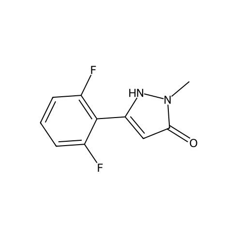 Cn1[nH]c(-c2c(F)cccc2F)cc1=O